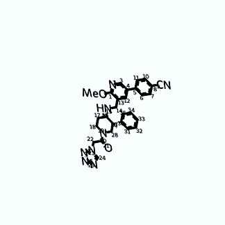 COc1ncc(-c2ccc(C#N)cc2)cc1CN[C@H]1CCN(C(=O)Cn2cnnn2)C[C@H]1c1ccccc1